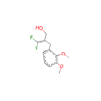 COc1cccc(CC(CO)=C(F)F)c1OC